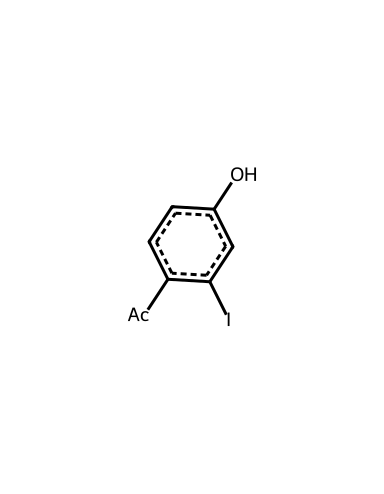 CC(=O)c1ccc(O)cc1I